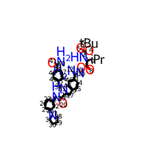 CC(C)C(NC(=O)OC(C)(C)C)C(=O)O/N=C(\N)c1ccc2cc(C(=O)Nc3cccc(N4CCCC4)c3)n(Cc3ccc(C(N)=O)cc3)c2c1